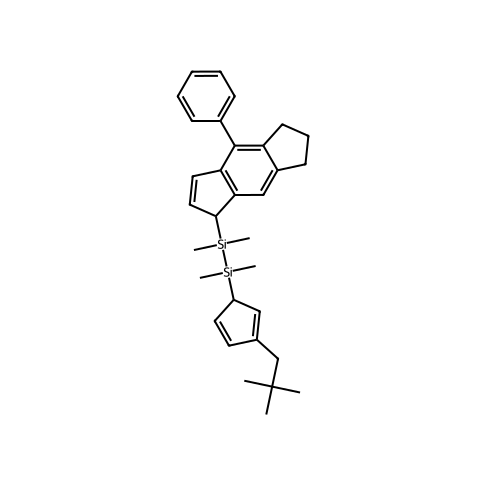 CC(C)(C)CC1=CC([Si](C)(C)[Si](C)(C)C2C=Cc3c2cc2c(c3-c3ccccc3)CCC2)C=C1